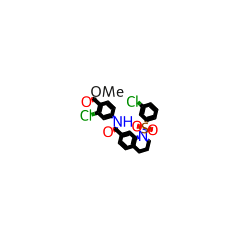 COC(=O)c1ccc(NC(=O)c2ccc3c(c2)N(S(=O)(=O)c2cccc(Cl)c2)CCC3)cc1Cl